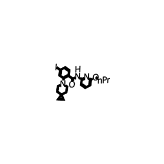 CCCOc1cccc(NC(=O)c2ccc(I)cc2N2CCC3(CC2)CC3)n1